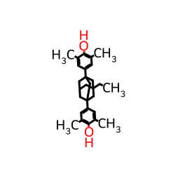 CCC12CC3CC(c4cc(C)c(O)c(C)c4)(C1)CC(c1cc(C)c(O)c(C)c1)(C3)C2